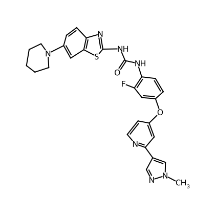 Cn1cc(-c2cc(Oc3ccc(NC(=O)Nc4nc5ccc(N6CCCCC6)cc5s4)c(F)c3)ccn2)cn1